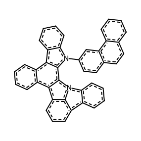 c1ccc2c(c1)ccc1ccc(-n3c4ccccc4c4c5ccccc5c5c6cccc7c8ccccc8n(c76)c5c43)cc12